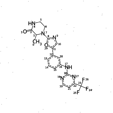 CC1C(=O)NCCN1c1ncc(-c2cccc(Nc3nccc(C(F)(F)F)n3)c2)o1